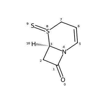 O=C1C[C@@H]2N1C=CCS2=S